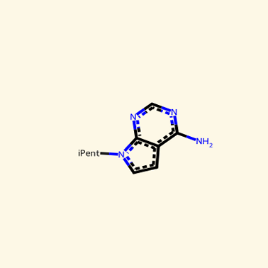 CCCC(C)n1ccc2c(N)ncnc21